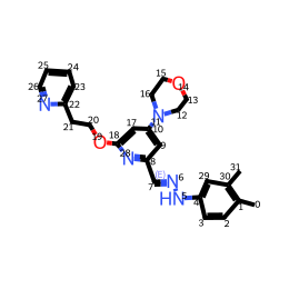 Cc1ccc(N/N=C/c2cc(N3CCOCC3)cc(OCCc3ccccn3)n2)cc1C